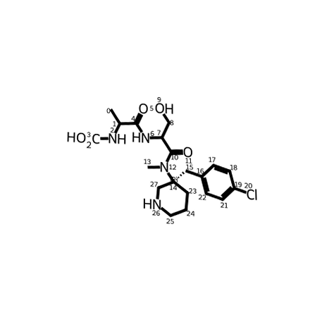 CC(NC(=O)O)C(=O)NC(CO)C(=O)N(C)[C@@]1(Cc2ccc(Cl)cc2)CCCNC1